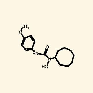 COc1ccc(NC(=O)N(O)C2CCCCCCC2)cc1